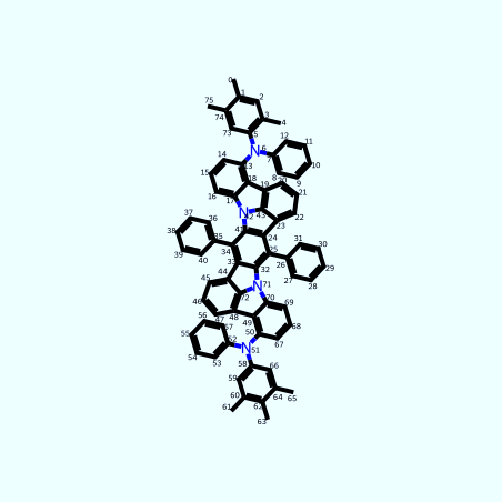 Cc1cc(C)c(N(c2ccccc2)c2cccc3c2c2cccc4c5c(-c6ccccc6)c6c(c(-c7ccccc7)c5n3c24)c2cccc3c4c(N(c5ccccc5)c5cc(C)c(C)c(C)c5)cccc4n6c32)cc1C